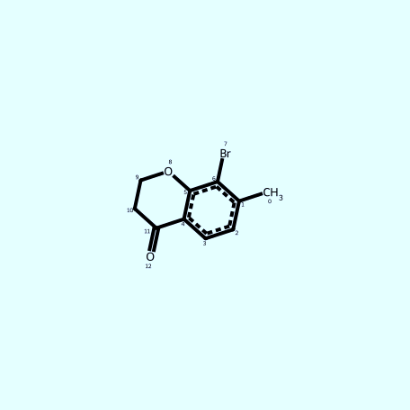 Cc1ccc2c(c1Br)OCCC2=O